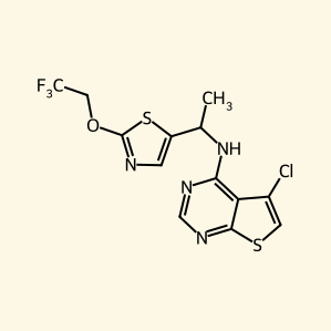 CC(Nc1ncnc2scc(Cl)c12)c1cnc(OCC(F)(F)F)s1